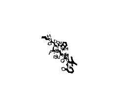 C=CCNC(=O)C(=O)[C@H](CC(F)F)NC(=O)[C@@H]1[C@H]2CCC[C@H]2CN1C(=O)[C@@H](NC(=O)N[C@H](CN1CCCCC1=O)C1(C)C(C)C1C)C(C)(C)C